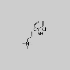 C=CC#N.C=CCS.C=CC[N+](C)(C)C.[Cl-]